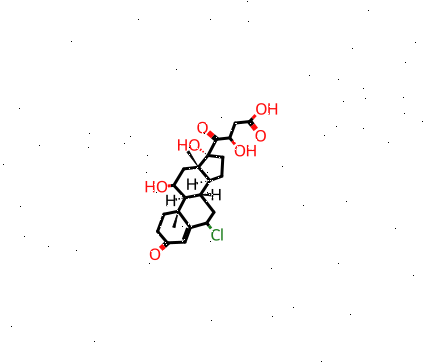 C[C@]12CCC(=O)C=C1C(Cl)C[C@@H]1[C@@H]2C(O)C[C@@]2(C)[C@H]1CC[C@]2(O)C(=O)C(O)CC(=O)O